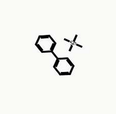 [CH3][Sn]([CH3])([CH3])[CH3].c1ccc(-c2ccccc2)cc1